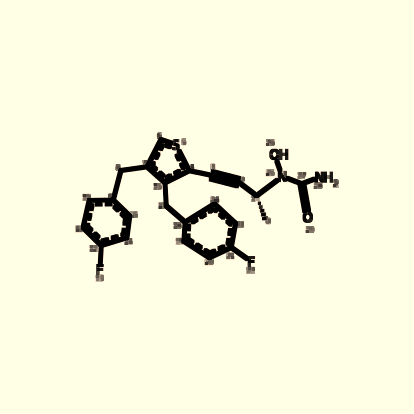 C[C@H](C#Cc1scc(Cc2ccc(F)cc2)c1Cc1ccc(F)cc1)N(O)C(N)=O